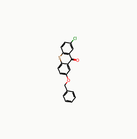 O=c1c2cc(Cl)ccc2sc2ccc(OCc3ccccc3)cc12